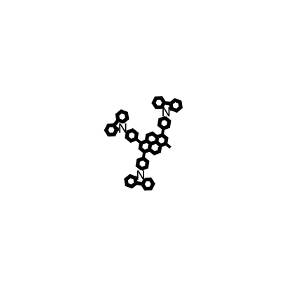 Cc1cc(-c2ccc(-n3c4ccccc4c4ccccc43)cc2)c2ccc3c(-c4ccc(-n5c6ccccc6c6ccccc65)cc4)cc(-c4ccc(-n5c6ccccc6c6ccccc65)cc4)c4ccc1c2c43